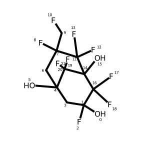 OC1(F)CC2(O)CC(F)(CF)C(F)(F)C(O)(C1(F)F)C2(F)F